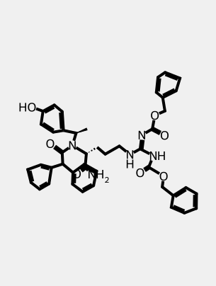 C[C@H](c1ccc(O)cc1)N(C(=O)C(c1ccccc1)c1ccccc1)[C@H](CCCNC(=NC(=O)OCc1ccccc1)NC(=O)OCc1ccccc1)C(N)=O